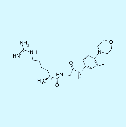 C[C@@H](CCCCNC(=N)N)C(=O)NCC(=O)Nc1ccc(N2CCOCC2)c(F)c1